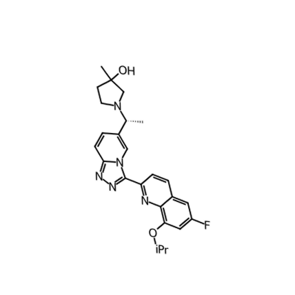 CC(C)Oc1cc(F)cc2ccc(-c3nnc4ccc([C@@H](C)N5CCC(C)(O)C5)cn34)nc12